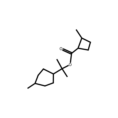 CC1CCC(C(C)(C)OC(=O)C2CCC2C)CC1